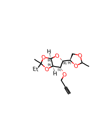 C#CCO[C@@H]1[C@H]2OC(C)(CC)O[C@H]2O[C@@H]1[C@H]1COC(C)O1